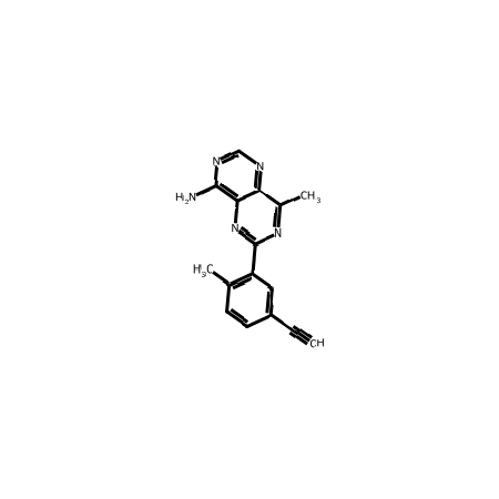 C#Cc1ccc(C)c(-c2nc(C)c3ncnc(N)c3n2)c1